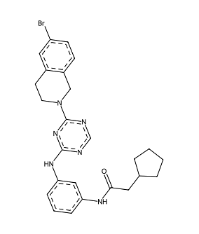 O=C(CC1CCCC1)Nc1cccc(Nc2ncnc(N3CCc4cc(Br)ccc4C3)n2)c1